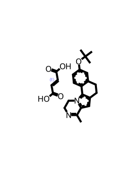 CC1=NCCn2c1cc1c2-c2ccc(OC(C)(C)C)cc2CC1.O=C(O)/C=C/C(=O)O